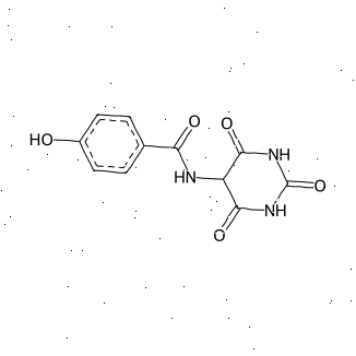 O=C1NC(=O)C(NC(=O)c2ccc(O)cc2)C(=O)N1